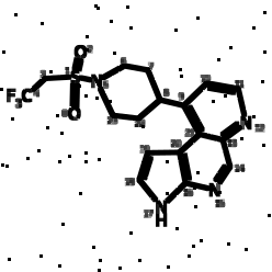 O=S(=O)(CC(F)(F)F)N1CCC(c2ccnc3cnc4[nH]ccc4c23)CC1